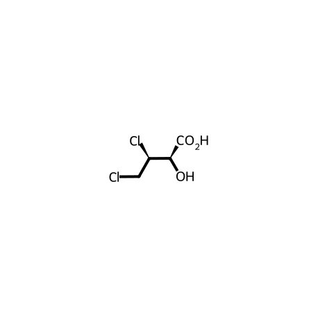 O=C(O)[C@@H](O)[C@H](Cl)CCl